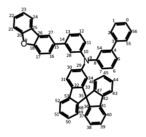 c1ccc(-c2cccc(N(c3cccc(-c4ccc5oc6ccccc6c5c4)c3)c3ccc4c(c3)C3(c5ccccc5-c5ccccc53)c3ccccc3-4)c2)cc1